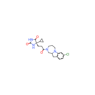 O=C1NC(=O)[C@](CCC(=O)N2CCCN3c4cc(Cl)ccc4CC3C2)(C2CC2)N1